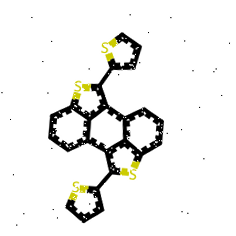 c1csc(-c2sc3cccc4c5c(-c6cccs6)sc6cccc(c2c34)c65)c1